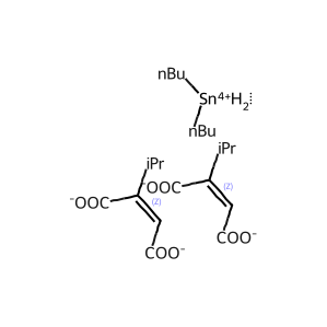 CC(C)/C(=C/C(=O)[O-])C(=O)[O-].CC(C)/C(=C/C(=O)[O-])C(=O)[O-].CCC[CH2][SnH2+4][CH2]CCC